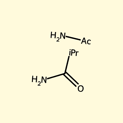 CC(C)C(N)=O.CC(N)=O